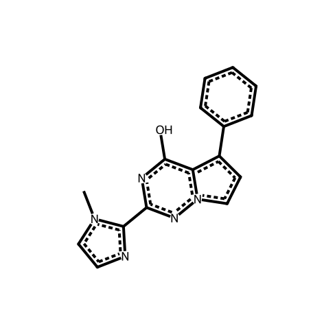 Cn1ccnc1-c1nc(O)c2c(-c3ccccc3)ccn2n1